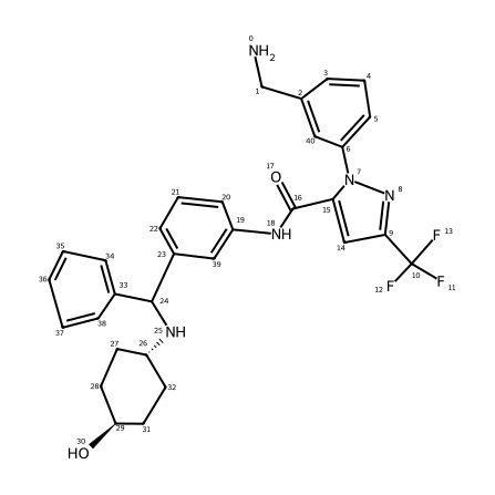 NCc1cccc(-n2nc(C(F)(F)F)cc2C(=O)Nc2cccc(C(N[C@H]3CC[C@H](O)CC3)c3ccccc3)c2)c1